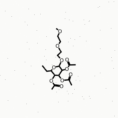 CCC1OC(OCCOCCOC)C(OC(C)=O)C(OC(C)=O)C1OC(C)=O